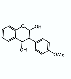 COc1ccc(C2C(O)Oc3ccccc3C2O)cc1